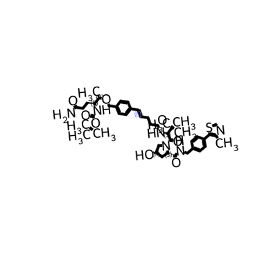 Cc1ncsc1-c1ccc(CNC(=O)[C@@H]2C[C@@H](O)CN2C(=O)[C@@H](NC(=O)CC/C=C/c2ccc(CO[C@H](C)[C@H](CCC(N)=O)NC(=O)OC(C)(C)C)cc2)C(C)(C)C)cc1